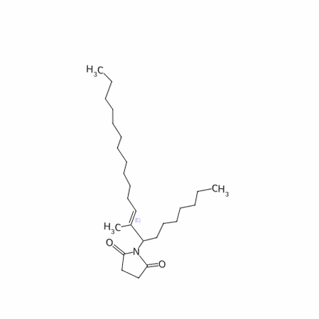 CCCCCCCCCCC/C=C(\C)C(CCCCCCC)N1C(=O)CCC1=O